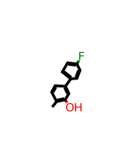 Cc1ccc(-c2ccc(F)cc2)cc1O